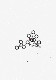 CC1(C)c2ccccc2-c2ccc(N(c3ccc(-c4cccc5c4c4ccccc4n5-c4ccccc4)cc3)c3cccc4c3C3(c5ccccc5-c5ccccc53)c3ccccc3-4)cc21